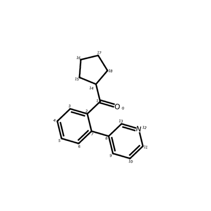 O=C(c1ccccc1-c1cccnc1)C1CCCC1